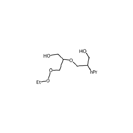 CCCC(CO)COC(CO)COOCC